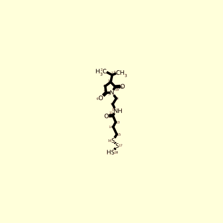 CC(C)C1CC(=O)N(CCNC(=O)CCCSSS)C1=O